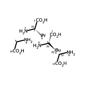 CC(C)[C@H](N)C(=O)O.CC[C@H](C)[C@H](N)C(=O)O.NCC(=O)O.NCC(=O)O